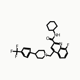 O=C(NC1CCCCC1)c1cc(CN2CCC(c3ccc(C(F)(F)F)cc3)CC2)c2cccc(F)c2n1